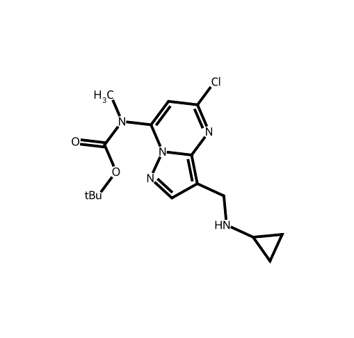 CN(C(=O)OC(C)(C)C)c1cc(Cl)nc2c(CNC3CC3)cnn12